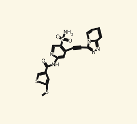 CSc1cc(C(=O)Nc2cc(C#Cc3nnc4ccccn34)c(S(N)(=O)=O)cn2)cs1